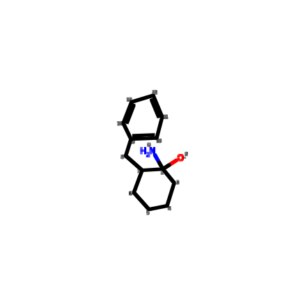 NC1([O])CCCCC1Cc1ccccc1